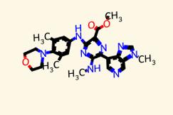 CNc1nc(Nc2cc(C)c(N3CCOCC3)c(C)c2)c(C(=O)OC)nc1-c1cncc2c1ncn2C